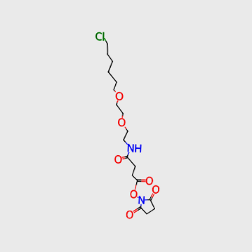 O=C(CCC(=O)ON1C(=O)CCC1=O)NCCOCCOCCCCCCCl